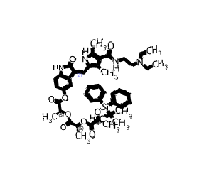 CCN(CC)CCNC(=O)c1c(C)[nH]c(/C=C2\C(=O)Nc3ccc(OC(=O)[C@H](C)OC(=O)[C@H](C)OC(=O)[C@H](C)O[Si](c4ccccc4)(c4ccccc4)C(C)(C)C)cc32)c1C